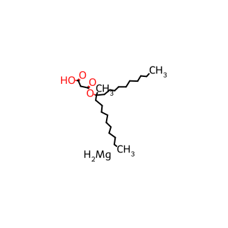 CCCCCCCCCCC(C)(CCCCCCCCCC)OC(=O)CC(=O)O.[MgH2]